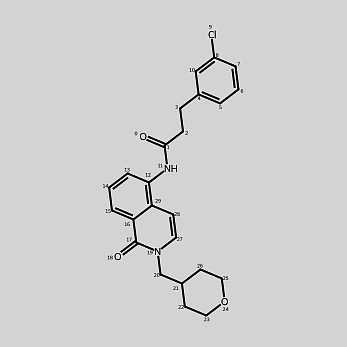 O=C(CCc1cccc(Cl)c1)Nc1cccc2c(=O)n(CC3CCOCC3)ccc12